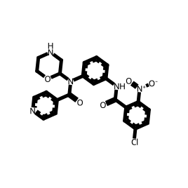 O=C(Nc1cccc(N(C(=O)c2ccncc2)C2CNCCO2)c1)c1cc(Cl)ccc1[N+](=O)[O-]